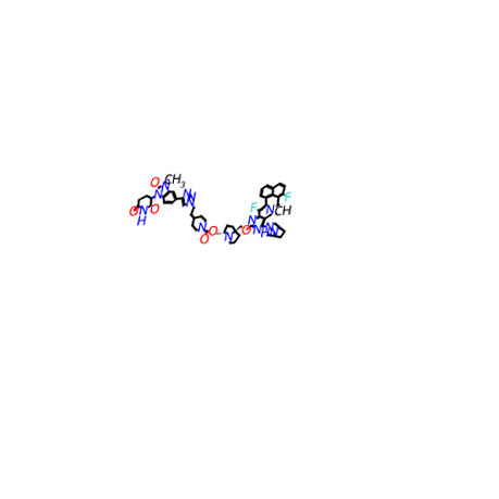 C#Cc1c(F)ccc2cccc(-c3ncc4c(N5CC6CCC(C5)N6)nc(OC[C@@]56CCCN5[C@H](COC(=O)N5CCC(CCn7cc(-c8ccc9c(c8)n(C)c(=O)n9C8CCC(=O)NC8=O)nn7)CC5)CC6)nc4c3F)c12